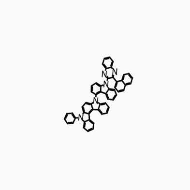 c1ccc(-n2c3ccccc3c3c4c5ccccc5n(-c5cccc6c5c5ccccc5n6-c5nc6ccccc6nc5-c5cccc6ccccc56)c4ccc32)cc1